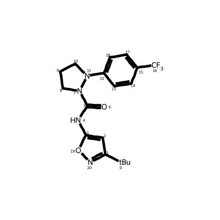 CC(C)(C)c1cc(NC(=O)N2CCCN2c2ccc(C(F)(F)F)cc2)on1